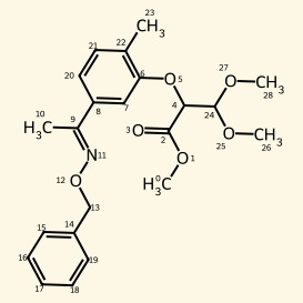 COC(=O)C(Oc1cc(C(C)=NOCc2ccccc2)ccc1C)C(OC)OC